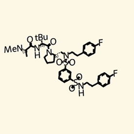 CN[C@@H](C)C(=O)N[C@H](C(=O)N1CCC[C@H]1CN(CCc1ccc(F)cc1)S(=O)(=O)c1cccc(S(=O)(=O)NCCc2ccc(F)cc2)c1)C(C)(C)C